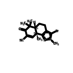 Cn1nc2c(c1Br)CC[C@H]1C(C)(C)C(=O)C(C#N)=C[C@]21C